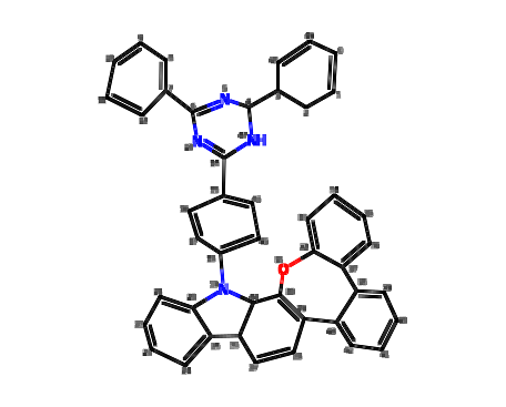 C1=CCC(C2N=C(c3ccccc3)N=C(c3ccc(N4c5ccccc5C5C=CC6=C(Oc7ccccc7-c7ccccc76)C54)cc3)N2)C=C1